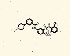 COc1ncc(NC(=O)c2cccc(N3CCN(C)CC3)c2)cc1S(=O)(=O)Nc1c(C)cccc1C